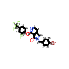 O=C1c2c(ccnc2Oc2ccc(C(F)(F)F)cc2F)CN1Cc1ccc(Br)cc1